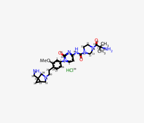 COc1cc(-n2ccc(NC(=O)N3CCN(C(=O)C(C)(C)N)CC3)nc2=O)ccc1CCN1CC2CC2(CN)C1.Cl